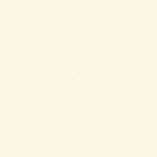 CNC(=O)C1=C(O)c2ccccc2N(Cc2ccc(C)c(Cl)c2)C(=O)C1